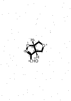 O=CC1=NO[C@@H]2COC[C@H]12